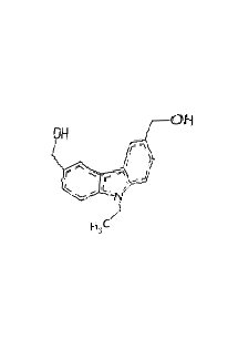 CCn1c2ccc(CO)cc2c2cc(CO)ccc21